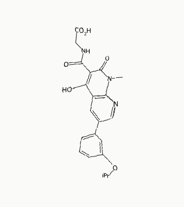 CC(C)Oc1cccc(-c2cnc3c(c2)c(O)c(C(=O)NCC(=O)O)c(=O)n3C)c1